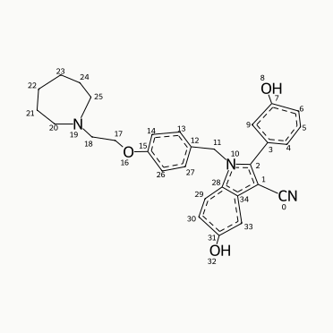 N#Cc1c(-c2cccc(O)c2)n(Cc2ccc(OCCN3CCCCCC3)cc2)c2ccc(O)cc12